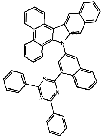 c1ccc(-c2nc(-c3ccccc3)nc(-c3cc(-n4c5cc6ccccc6cc5c5c6ccccc6c6ccccc6c54)cc4ccccc34)n2)cc1